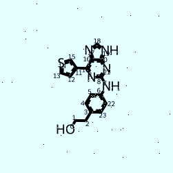 OCCc1ccc(Nc2nc(-c3ccsc3)c3nc[nH]c3n2)cc1